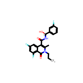 Cc1c(C(=O)N[C@@H](O)c2cccc(F)c2)c2cc(F)cc(F)c2c(=O)n1CCC(F)(F)F